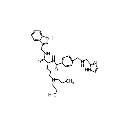 CCCN(CCC)CCC[C@H](NC(=O)c1ccc(CNCc2ncc[nH]2)cc1)C(=O)NCc1c[nH]c2ccccc12